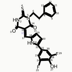 O=C1NC(=S)N(CCc2ccccc2)C(=O)/C1=C\c1ccc(-c2cc(F)c(O)c(F)c2)[nH]1